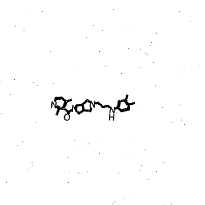 Cc1ccc(NCCCN2CC3CN(C(=O)c4c(C)ccnc4C)CC3C2)cc1C